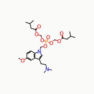 COc1ccc2c(c1)c(CCN(C)C)cn2COP(=O)(OCOC(=O)CC(C)C)OCOC(=O)CC(C)C